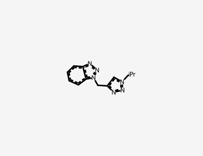 CC(C)n1cc(Cn2nnc3ccccc32)nn1